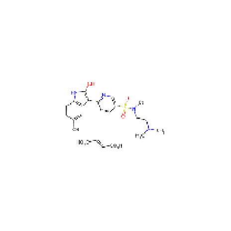 CCN(CCN(C)C)S(=O)(=O)c1ccc(-c2c(O)[nH]c3ccc(C#N)cc23)nc1.O=C(O)/C=C/C(=O)O